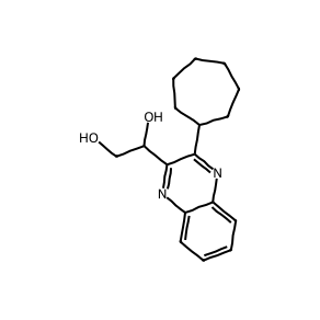 OCC(O)c1nc2ccccc2nc1C1CCCCCC1